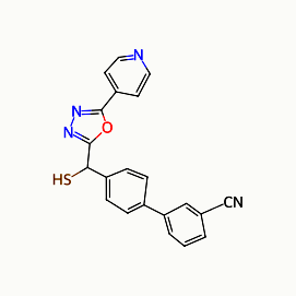 N#Cc1cccc(-c2ccc(C(S)c3nnc(-c4ccncc4)o3)cc2)c1